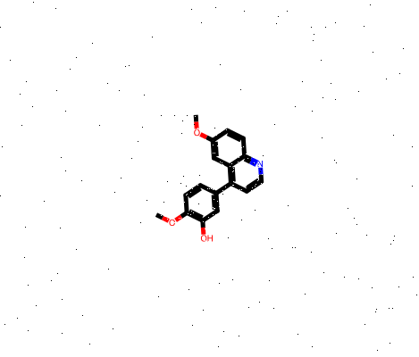 COc1ccc2nccc(-c3ccc(OC)c(O)c3)c2c1